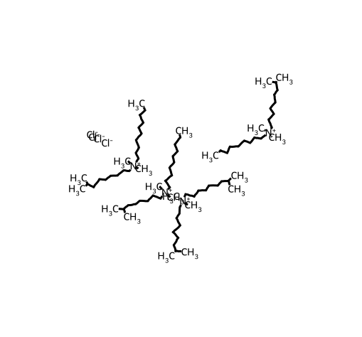 CC(C)CCCCCCC[N+](C)(C)CCCCCCCC(C)C.CCCCCCCCCC[N+](C)(C)CCCCCCC(C)C.CCCCCCCCCC[N+](C)(C)CCCCCCCC(C)C.CCCCCCCCC[N+](C)(C)CCCCCCCC(C)C.[Cl-].[Cl-].[Cl-].[Cl-]